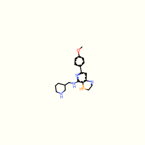 COc1ccc(-c2cc3c(c(NCC4CCCNC4)n2)PCC=N3)cc1